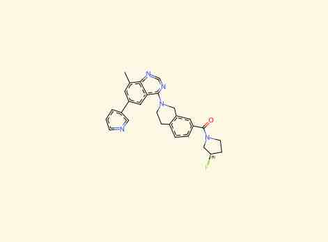 Cc1cc(-c2cccnc2)cc2c(N3CCc4ccc(C(=O)N5CC[C@@H](F)C5)cc4C3)ncnc12